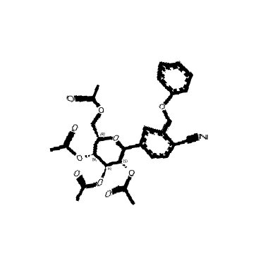 CC(=O)OC[C@H]1OC(c2ccc(C#N)c(COc3ccccc3)c2)[C@H](OC(C)=O)[C@@H](OC(C)=O)[C@@H]1OC(C)=O